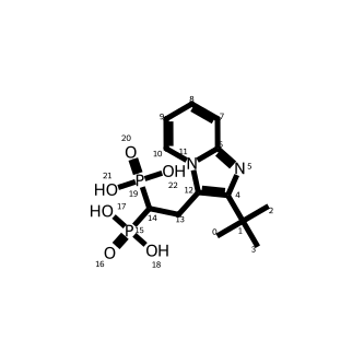 CC(C)(C)c1nc2ccccn2c1CC(P(=O)(O)O)P(=O)(O)O